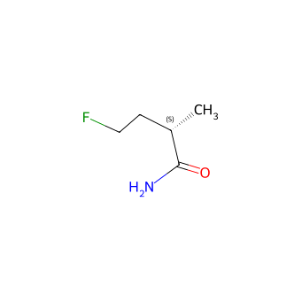 C[C@@H](CCF)C(N)=O